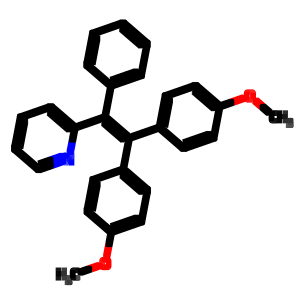 COc1ccc(C(=C(c2ccccc2)c2ccccn2)c2ccc(OC)cc2)cc1